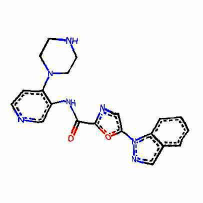 O=C(Nc1cnccc1N1CCNCC1)c1ncc(-n2ncc3ccccc32)o1